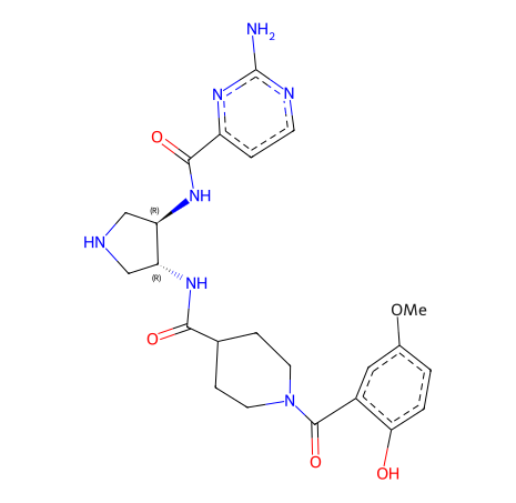 COc1ccc(O)c(C(=O)N2CCC(C(=O)N[C@@H]3CNC[C@H]3NC(=O)c3ccnc(N)n3)CC2)c1